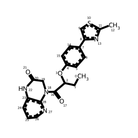 CCC(Oc1ccc(-c2csc(C)n2)cc1)C(=O)N1CC(=O)Nc2cccnc21